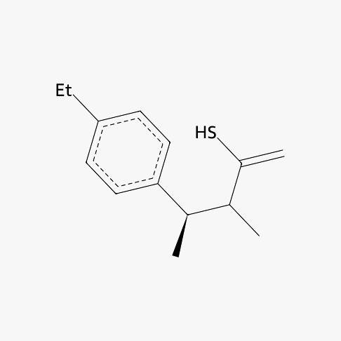 C=C(S)C(C)[C@@H](C)c1ccc(CC)cc1